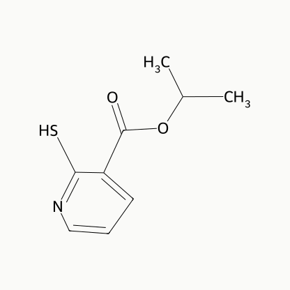 CC(C)OC(=O)c1cccnc1S